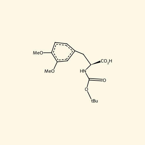 COc1ccc(C[C@H](NC(=O)OC(C)(C)C)C(=O)O)cc1OC